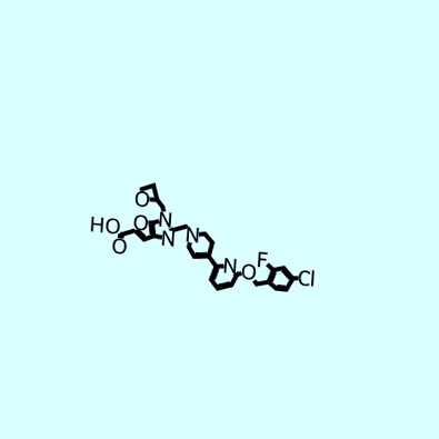 O=C(O)c1cc2nc(CN3CC=C(c4cccc(OCc5ccc(Cl)cc5F)n4)CC3)n(CC3CCO3)c2o1